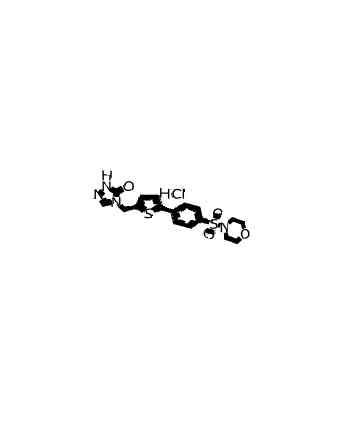 Cl.O=c1[nH]ncn1Cc1ccc(-c2ccc(S(=O)(=O)N3CCOCC3)cc2)s1